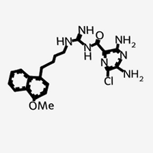 COc1ccc(CCCCNC(=N)NC(=O)c2nc(Cl)c(N)nc2N)c2ccccc12